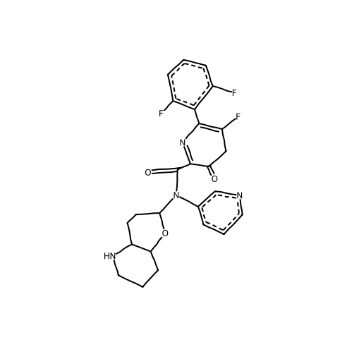 O=C1CC(F)=C(c2c(F)cccc2F)N=C1C(=O)N(c1cccnc1)C1CCC2NCCCC2O1